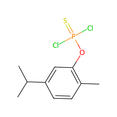 Cc1ccc(C(C)C)cc1OP(=S)(Cl)Cl